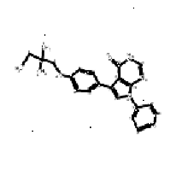 CC(C)(CO)COc1ccc(-c2cn(-c3ccccc3)c3nc[nH]c(=O)c23)cc1